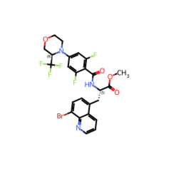 COC(=O)[C@H](Cc1ccc(Br)c2ncccc12)NC(=O)c1c(F)cc(N2CCOC[C@@H]2C(F)(F)F)cc1F